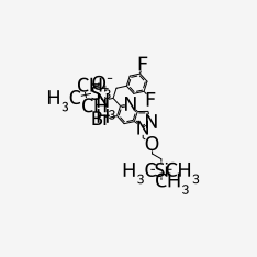 CC(C)(C)[S+]([O-])NC(Cc1cc(F)cc(F)c1)c1nc2cnn(COCC[Si](C)(C)C)c2cc1Br